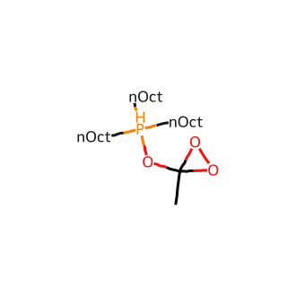 CCCCCCCC[PH](CCCCCCCC)(CCCCCCCC)OC1(C)OO1